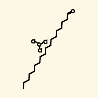 CCCCCCCCCCCCCCCCCC=O.[Cl][Cr]([Cl])[Cl]